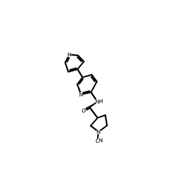 N#CN1CCC(C(=O)Nc2ccc(-c3ccncc3)cn2)C1